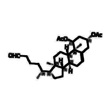 CC(=O)O[C@@H]1CC2=CC[C@H]3[C@@H]4CC[C@H]([C@H](C)CCCC=O)[C@@]4(C)CC[C@@H]3[C@@]2(C)[C@@H](OC(C)=O)C1